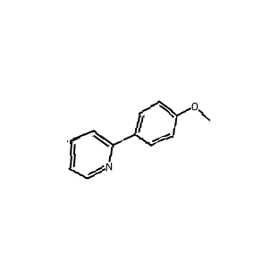 COc1ccc(-c2c[c]ccn2)cc1